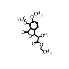 CCOC(=O)C(O)C1OC(=O)c2c1ccc(OC)c2OC